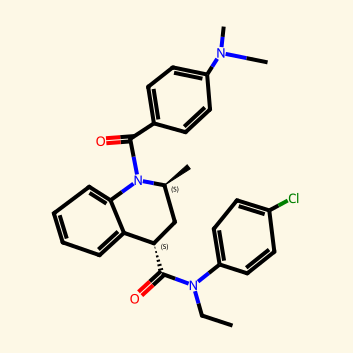 CCN(C(=O)[C@H]1C[C@H](C)N(C(=O)c2ccc(N(C)C)cc2)c2ccccc21)c1ccc(Cl)cc1